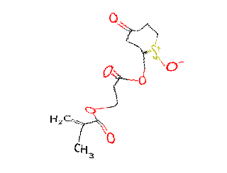 C=C(C)C(=O)OCC(=O)OC1CC(=O)CC[S+]1[O-]